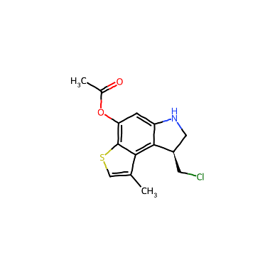 CC(=O)Oc1cc2c(c3c(C)csc13)[C@H](CCl)CN2